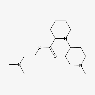 CN(C)CCOC(=O)C1CCCCN1C1CCN(C)CC1